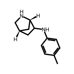 Cc1ccc(NC2C[C@@H]3CN[C@H]2C3)cc1